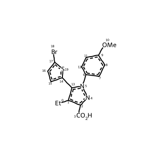 CCc1c(C(=O)O)nn(-c2ccc(OC)cc2)c1-c1ccc(Br)s1